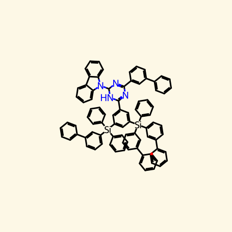 c1ccc(-c2cccc(C3=NC(n4c5ccccc5c5ccccc54)NC(c4cc([Si](c5ccccc5)(c5ccccc5)c5cccc(-c6ccccc6)c5)cc([Si](c5ccccc5)(c5cccc(-c6ccccc6)c5)c5cccc(-c6ccccc6)c5)c4)=N3)c2)cc1